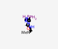 CNCC(C)(C)CC(=O)N[C@@H]1C[C@H](C)CN(c2ccc(C(P)P)c3nccnc23)C1